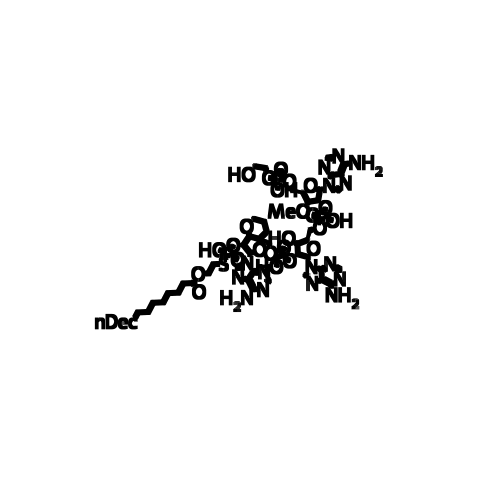 CCCCCCCCCCCCCCCCCC(=O)OCCSP(=O)(O)O[C@H]1C2OCCC[C@]2(COP(=O)(O)O[C@H]2C(O)[C@@H](COP(=O)(O)O[C@H]3C(OC)[C@@H](COP(=O)(O)OCCO)O[C@H]3n3cnc4c(N)ncnc43)O[C@H]2n2cnc3c(N)ncnc32)O[C@H]1n1cnc2c(N)ncnc21